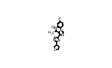 Cc1c2c(-c3nc(C4CCOC4)no3)ncn2c2ccc(F)cc2[n+]1[O-]